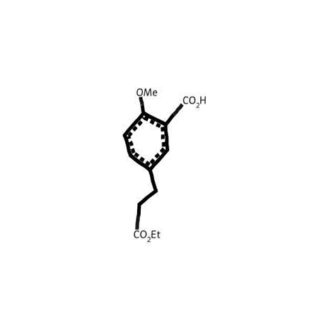 CCOC(=O)CCc1ccc(OC)c(C(=O)O)c1